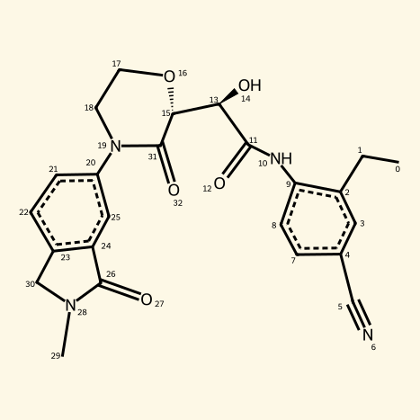 CCc1cc(C#N)ccc1NC(=O)[C@H](O)[C@H]1OCCN(c2ccc3c(c2)C(=O)N(C)C3)C1=O